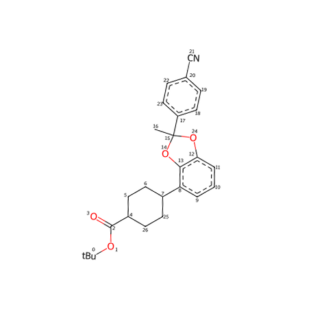 CC(C)(C)OC(=O)C1CCC(c2cccc3c2OC(C)(c2ccc(C#N)cc2)O3)CC1